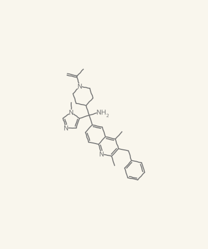 C=C(C)N1CCC(C(N)(c2ccc3nc(C)c(Cc4ccccc4)c(C)c3c2)c2cncn2C)CC1